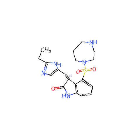 CCc1ncc(/C=C2\C(=O)Nc3cccc(S(=O)(=O)N4CCCNCC4)c32)[nH]1